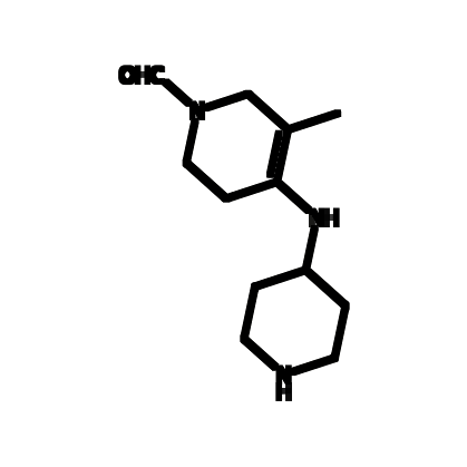 CC1=C(NC2CCNCC2)CCN(C=O)C1